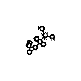 c1cncc(-c2nc(-c3cccnc3)nc(-c3c4ccccc4c(-c4ccc5c(c4)C4(c6ccccc6-5)C5CC6CC(C5)CC4C6)c4ccccc34)n2)c1